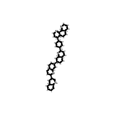 c1ccc2ncc(-c3ccc4ccc(-c5ccc6ccc(-c7ccc(-c8ccnc9c8ccc8cccnc89)cc7)nc6c5)cc4n3)cc2c1